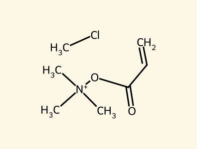 C=CC(=O)O[N+](C)(C)C.CCl